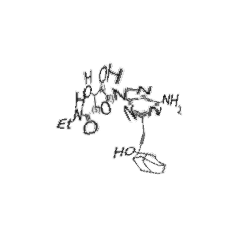 CCNC(=O)[C@H]1O[C@@H](n2cnc3c(N)nc(C#CC4(O)C5CC6CC(C5)CC4C6)nc32)[C@@H](O)C1O